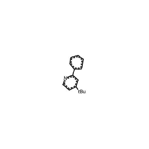 CC(C)(C)c1ccnc(-c2ccccc2)c1